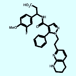 COc1ccc(C(CC(=O)O)NC(=O)c2cnn(CCc3ccc4c(n3)NCCC4)c2-c2ccccc2)cc1F